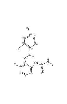 CNC(=S)Oc1cccc(C)c1COc1ccc(C)cc1C